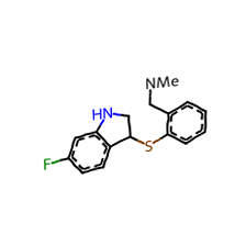 CNCc1ccccc1SC1CNc2cc(F)ccc21